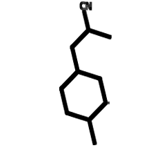 CC(C#N)CC1C[CH]C(C)CC1